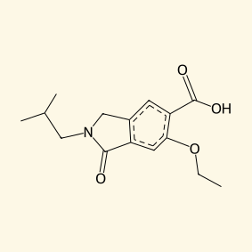 CCOc1cc2c(cc1C(=O)O)CN(CC(C)C)C2=O